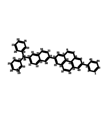 c1ccc(-c2cc3ccc4cc(-c5ccc6cc(N(c7ccccc7)c7cccnc7)ccc6c5)cc5ccc(c2)c3c45)cc1